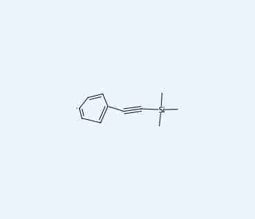 C[Si](C)(C)C#Cc1cc[c]cc1